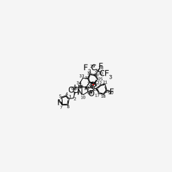 O=C(Cc1ccncc1)N1CC[C@@]2(S(=O)(=O)c3ccc(F)cc3)c3ccc(C(F)(C(F)(F)F)C(F)(F)F)cc3CC[C@@H]12